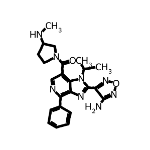 CNC1CCN(C(=O)c2cnc(-c3ccccc3)c3nc(-c4nonc4N)n(C(C)C)c23)C1